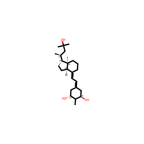 CC1[C@H](O)CC(=C/C=C2\CCC[C@@]3(C)[C@@H]2CC[C@@H]3[C@@H](C)CC(C)(C)O)C[C@H]1O